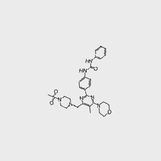 Cc1c(CN2CCN(S(C)(=O)=O)CC2)nc(-c2ccc(NC(=O)Nc3ccccc3)cc2)nc1N1CCOCC1